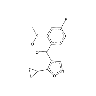 C[S+]([O-])c1cc(F)ccc1C(=O)c1cnoc1C1CC1